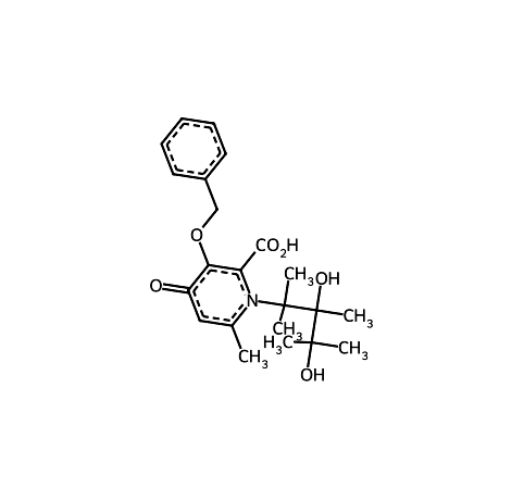 Cc1cc(=O)c(OCc2ccccc2)c(C(=O)O)n1C(C)(C)C(C)(O)C(C)(C)O